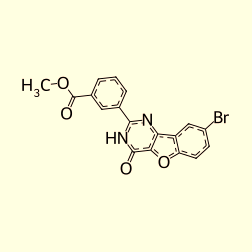 COC(=O)c1cccc(-c2nc3c(oc4ccc(Br)cc43)c(=O)[nH]2)c1